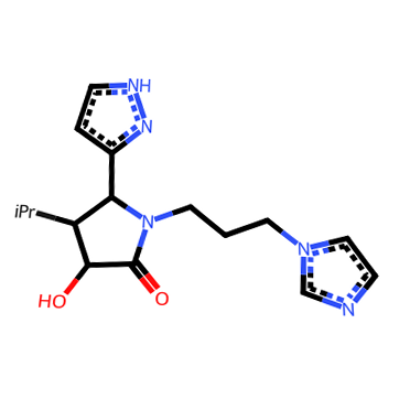 CC(C)C1C(O)C(=O)N(CCCn2ccnc2)C1c1cc[nH]n1